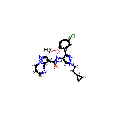 COc1ccc(Cl)cc1-c1nn(CCC2CC2)cc1NC(=O)c1cnn2cccnc12